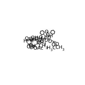 CC(=O)O[C@H]1C(=O)[C@@]2(C)[C@H]([C@H](O)[C@]3(O)C[C@H](OC(=O)[C@H](OC(=O)OC[C@H]4COC(C)(C)O4)[C@@H](NC(=O)c4ccccc4)c4ccccc4)C(C)=C1C3(C)C)[C@]1(O)CO[C@@H]1C[C@@H]2O